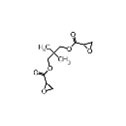 CC(C)(COC(=O)C1CO1)COC(=O)C1CO1